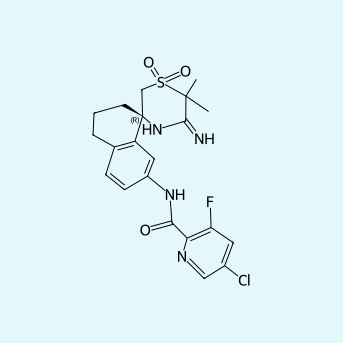 CC1(C)C(=N)N[C@@]2(CCCc3ccc(NC(=O)c4ncc(Cl)cc4F)cc32)CS1(=O)=O